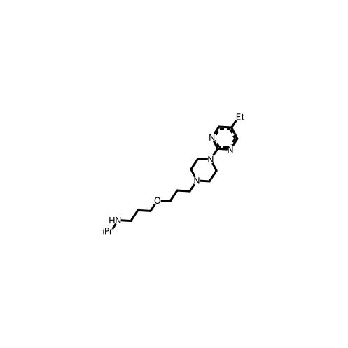 CCc1cnc(N2CCN(CCCOCCCNC(C)C)CC2)nc1